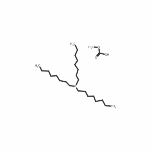 CCCCCCCCP(CCCCCCCC)CCCCCCCC.COC(=O)O